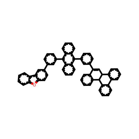 C1=C(c2cccc(-c3c4ccccc4c(-c4cccc(-c5ccc6oc7ccccc7c6c5)c4)c4ccccc34)c2)c2ccccc2C2c3ccccc3-c3ccccc3C12